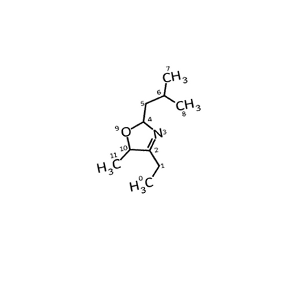 CCC1=NC(CC(C)C)OC1C